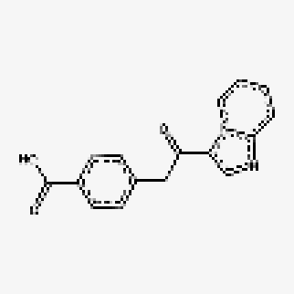 O=C(O)c1ccc(CC(=O)c2cnc3ccccn23)cc1